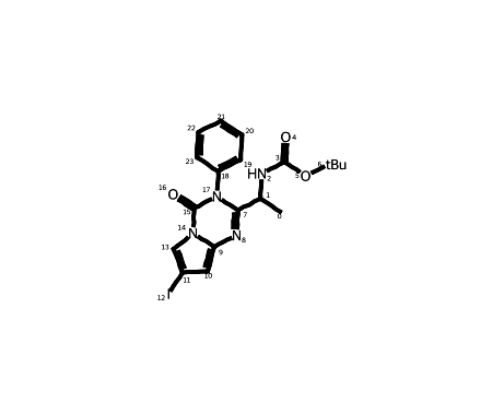 CC(NC(=O)OC(C)(C)C)c1nc2cc(I)cn2c(=O)n1-c1ccccc1